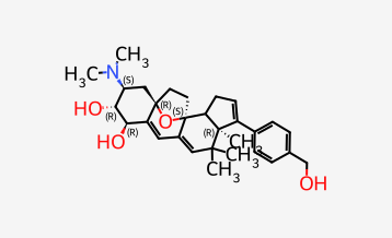 CN(C)[C@H]1C[C@@]23CC[C@@]4(O2)C(=CC(C)(C)[C@]2(C)C(c5ccc(CO)cc5)=CCC42)C=C3[C@@H](O)[C@@H]1O